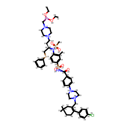 CCOP(CN1CCN(CC[C@H](CSc2ccccc2)N(c2ccc(S(=O)(=O)NC(=O)c3ccc(N4CCN(CC5=C(c6ccc(Cl)cc6)CCC(C)(C)C5)CC4)cc3)cc2C)S(C)(=O)=O)CC1)OCC